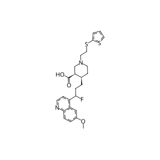 COc1ccc2nccc(C(F)CC[C@@H]3CCN(CCSc4cccs4)C[C@@H]3C(=O)O)c2c1